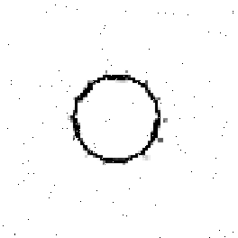 [CH]1CC=CC=CC=CCCC=CCC1